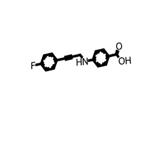 O=C(O)c1ccc(NCC#Cc2ccc(F)cc2)cc1